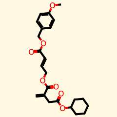 C=C(CC(=O)OC1CCCCC1)C(=O)OCC=CC(=O)OCc1ccc(OC)cc1